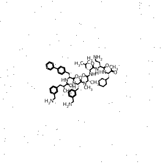 CC(=O)[C@H](CC1CCCCC1)NC(=O)[C@H](CCN)NC(=O)[C@@H](CC(C)C)NC(=O)[C@H](C)N(C)C(=O)[C@H](Cc1cccc(CN)c1)NC(=O)[C@H](Cc1ccc(-c2ccccc2)cc1)NC(=O)[C@@H](C)Cc1cccc(CN)c1